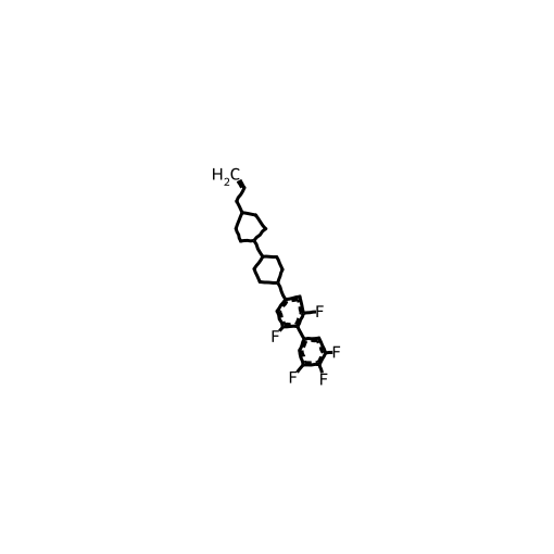 C=CCC1CCC(C2CCC(c3cc(F)c(-c4cc(F)c(F)c(F)c4)c(F)c3)CC2)CC1